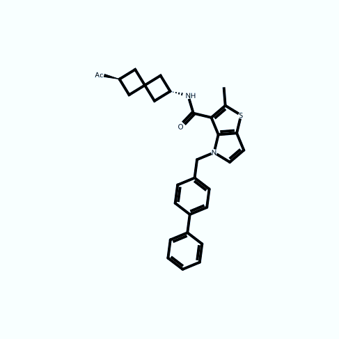 Cc1sc2ccn(Cc3ccc(-c4ccccc4)cc3)c2c1C(=O)N[C@H]1CC2(C1)C[C@H](C(C)=O)C2